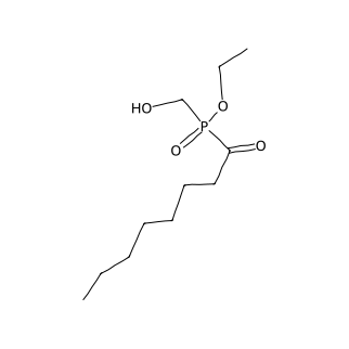 CCCCCCCC(=O)P(=O)(CO)OCC